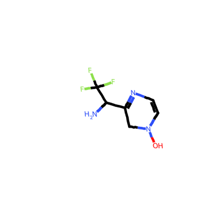 NC(C1=NC=CN(O)C1)C(F)(F)F